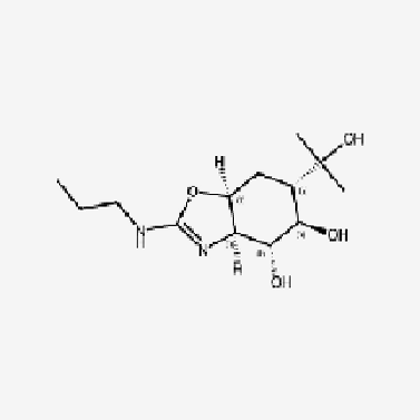 CCCNC1=N[C@@H]2[C@@H](O)[C@H](O)[C@@H](C(C)(C)O)C[C@@H]2O1